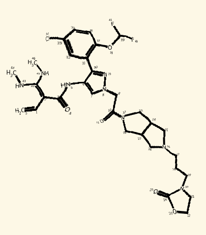 C=CC(C(=O)Nc1cn(CC(=O)N2CC3CN(CCCN4CCOC4=O)CC3C2)nc1-c1cc(Cl)ccc1OC(F)F)=C(NC)NC